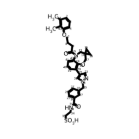 Cc1cccc(OCCCC(=O)N2CC3(CC3)COc3c(-c4cnn(Cc5cccc(C(=O)NCCS(=O)(=O)O)c5)c4)cccc32)c1C